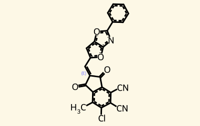 Cc1c(Cl)c(C#N)c(C#N)c2c1C(=O)/C(=C/c1cc3oc(-c4ccccc4)nc3o1)C2=O